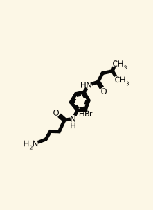 Br.CC(C)CC(=O)Nc1ccc(NC(=O)CCCN)cc1